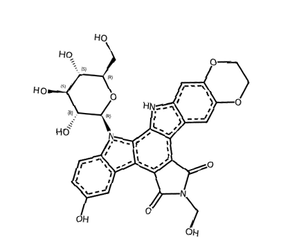 O=C1c2c(c3c4cc(O)ccc4n([C@@H]4O[C@H](CO)[C@@H](O)[C@H](O)[C@H]4O)c3c3[nH]c4cc5c(cc4c23)OCCO5)C(=O)N1CO